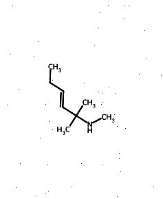 CC/C=C/C(C)(C)NC